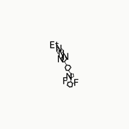 CCN1CCN(c2ncc(-c3ccc(C4CCC(c5c(F)cccc5F)=N4)cc3)cn2)CC1